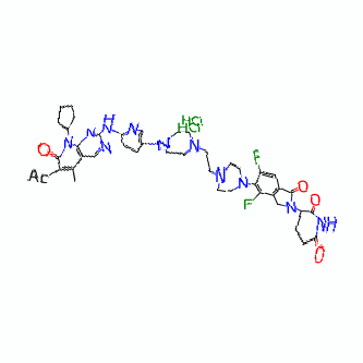 CC(=O)c1c(C)c2cnc(Nc3ccc(N4CCN(CCN5CCN(c6c(F)cc7c(c6F)CN(C6CCC(=O)NC6=O)C7=O)CC5)CC4)cn3)nc2n(C2CCCC2)c1=O.Cl.Cl